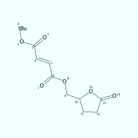 CC(C)(C)OC(=O)/C=C/C(=O)OCC1CCC(=O)O1